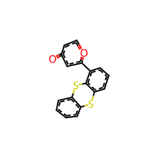 O=c1ccoc(-c2cccc3c2Sc2ccccc2S3)c1